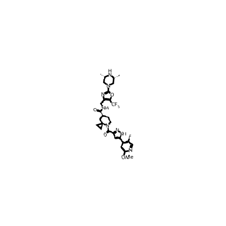 COc1cc(-c2cc(C(=O)N3CC[C@H](C(=O)NCc4nc(N5C[C@@H](C)N[C@@H](C)C5)oc4C(F)(F)F)CC34CC4)n[nH]2)c(F)cn1